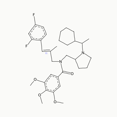 COc1cc(C(=O)N(C/C(C)=C/c2ccc(F)cc2F)CC2CCCN2C(C)C2CCCCC2)cc(OC)c1OC